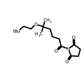 CC(C)(C)CCOC(C)(C)CCCC(=O)N1C(=O)CCC1=O